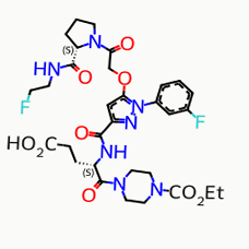 CCOC(=O)N1CCN(C(=O)[C@H](CCC(=O)O)NC(=O)c2cc(OCC(=O)N3CCC[C@H]3C(=O)NCCF)n(-c3cccc(F)c3)n2)CC1